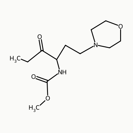 CCC(=O)C(CCN1CCOCC1)NC(=O)OC